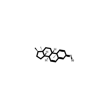 C[C@@H]1CC[C@H]2[C@@H]3C=CC4=CC(=N[N])C=C[C@]4(C)[C@H]3CC[C@]12C